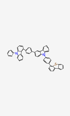 c1ccc(-n2c3ccccc3c3c(-c4ccc(-c5ccc6c(c5)c5ccccc5n6-c5ccc(-c6cccc7c6sc6ccccc67)cc5)cc4)cccc32)cc1